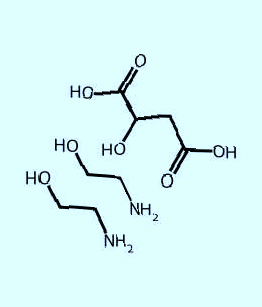 NCCO.NCCO.O=C(O)CC(O)C(=O)O